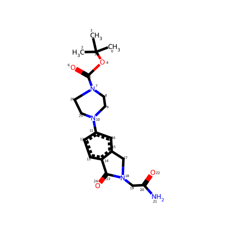 CC(C)(C)OC(=O)N1CCN(c2ccc3c(c2)CN(CC(N)=O)C3=O)CC1